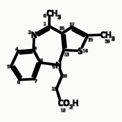 CC1=Nc2ccccc2N(CCC(=O)O)c2sc(C)cc21